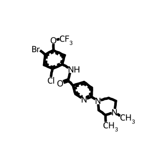 CC1CN(c2ccc(C(=O)Nc3cc(OC(F)(F)F)c(Br)cc3Cl)cn2)CCN1C